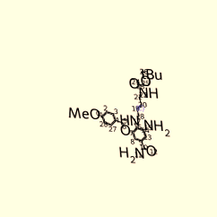 COc1ccc(COc2cc(C(N)=O)cc(N)c2NC/C=C/CNC(=O)OC(C)(C)C)cc1